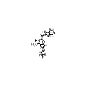 CC(NC(=O)C1CC1c1nc2cnccc2[nH]1)c1ccc(OCC(F)(F)F)s1